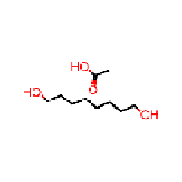 CC(=O)O.OCCCCCCCCO